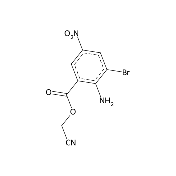 N#CCOC(=O)c1cc([N+](=O)[O-])cc(Br)c1N